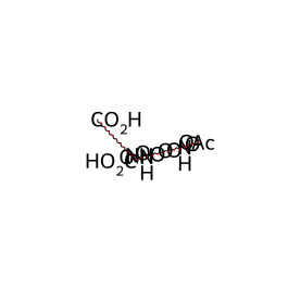 CC(=O)COCC(=O)NCCCOCCOCCOCCCNC(=O)CCC[C@@H](NC(=O)CCCCCCCCCCCCCCCCC(=O)O)C(=O)O